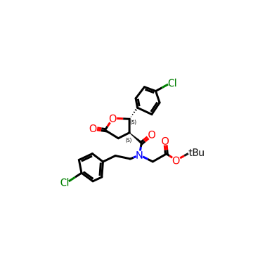 CC(C)(C)OC(=O)CN(CCc1ccc(Cl)cc1)C(=O)[C@H]1CC(=O)O[C@@H]1c1ccc(Cl)cc1